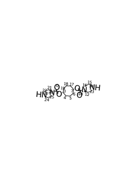 O=C(O[C@H]1CCC[C@@H](OC(=O)N2CCNCC2)CCC1)N1CCNCC1